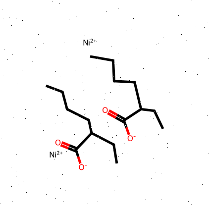 CCCCC(CC)C(=O)[O-].CCCCC(CC)C(=O)[O-].[Ni+2].[Ni+2]